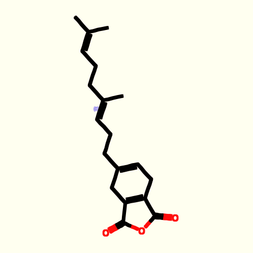 CC(C)=CCC/C(C)=C/CCC1=CCC2=C(C1)C(=O)OC2=O